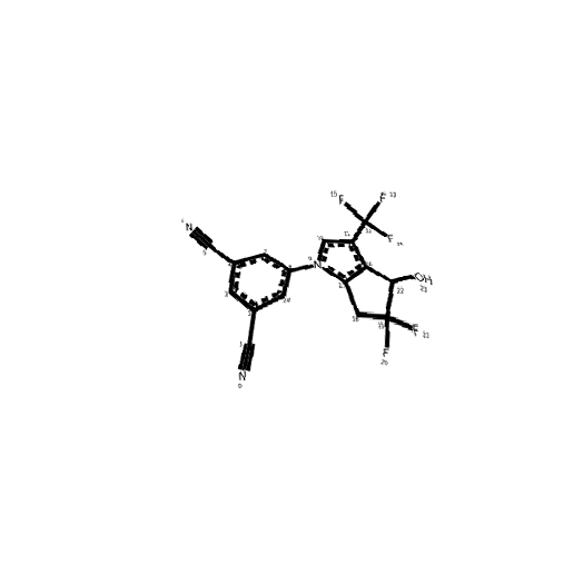 N#Cc1cc(C#N)cc(-n2cc(C(F)(F)F)c3c2CC(F)(F)C3O)c1